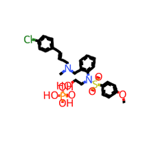 COc1ccc(S(=O)(=O)N(CCO)c2ccccc2CN(C)CC=Cc2ccc(Cl)cc2)cc1.O=P(O)(O)O